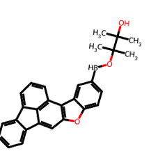 CC(C)(O)C(C)(C)OBc1ccc2oc3cc4c5c(cccc5c3c2c1)-c1ccccc1-4